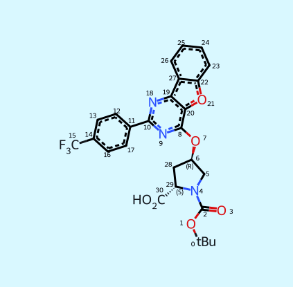 CC(C)(C)OC(=O)N1C[C@H](Oc2nc(-c3ccc(C(F)(F)F)cc3)nc3c2oc2ccccc23)C[C@H]1C(=O)O